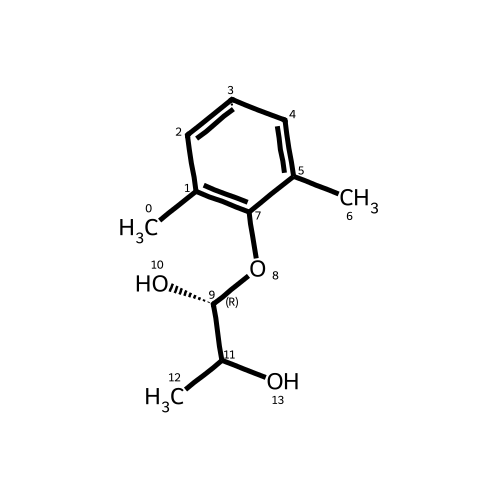 Cc1c[c]cc(C)c1O[C@@H](O)C(C)O